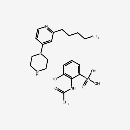 CC(=O)Nc1c(O)cccc1[As](=O)(O)O.CCCCCc1cc(N2CCNCC2)ccn1